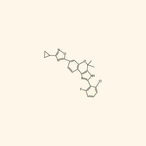 CC1(C)Oc2cc(-c3nc(C4CC4)no3)ccc2-c2nc(-c3c(F)cccc3Cl)[nH]c21